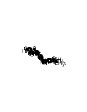 CC(C)(C)OC(=O)N1CCN(c2cc(N3CCN(c4ccc5c(c4)C(=O)N(C4CCC(=O)NC4=O)C5=O)CC3)ncn2)CC1